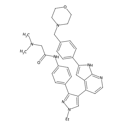 CCn1cc(-c2ccnc3[nH]c(-c4ccc(CN5CCOCC5)cc4)cc23)c(-c2ccc(NC(=O)CN(C)C)cc2)n1